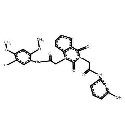 COc1cc(OC)c(NC(=O)Cn2c(=O)n(CC(=O)Nc3cccc(O)c3)c(=O)c3ccccc32)cc1Cl